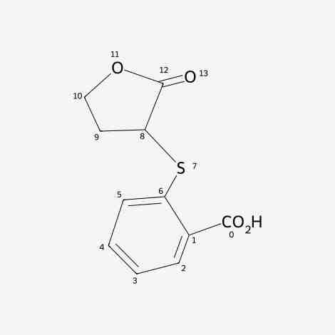 O=C(O)c1ccccc1SC1CCOC1=O